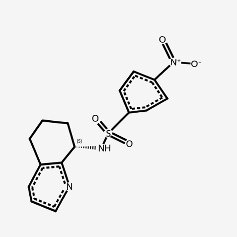 O=[N+]([O-])c1ccc(S(=O)(=O)N[C@H]2CCCc3cccnc32)cc1